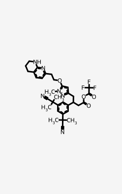 Cn1nc(CC(CC(=O)OC(=O)C(F)(F)F)c2cc(C(C)(C)C#N)cc(C(C)(C)C#N)c2)cc1OCCc1ccc2c(n1)NCCC2